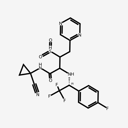 N#CC1(NC(=O)C(N[C@H](c2ccc(F)cc2)C(F)(F)F)C(Cc2cnccn2)[SH](=O)=O)CC1